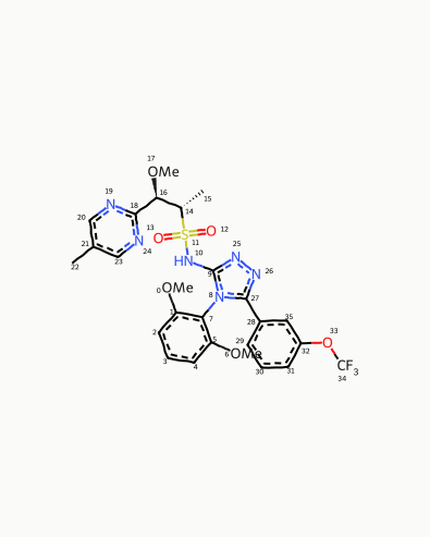 COc1cccc(OC)c1-n1c(NS(=O)(=O)[C@@H](C)[C@H](OC)c2ncc(C)cn2)nnc1-c1cccc(OC(F)(F)F)c1